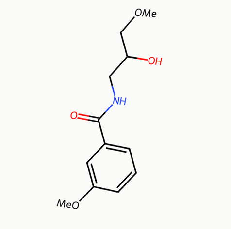 COCC(O)CNC(=O)c1cccc(OC)c1